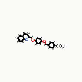 O=C(O)c1ccc(COc2ccc(OCc3ccc4ccccc4n3)cc2)cc1